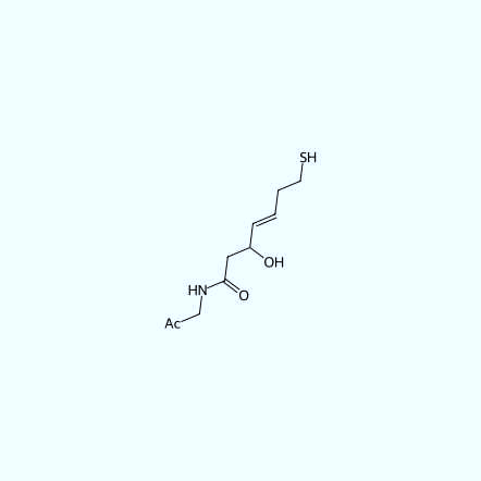 CC(=O)CNC(=O)CC(O)/C=C/CCS